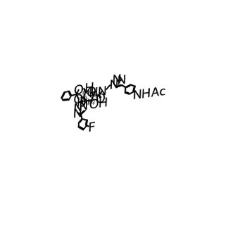 CC(=O)Nc1ccc(-c2cn(CCNC(=O)[C@@H]3O[C@@H]4COC(c5ccccc5)O[C@@H]4[C@H](n4cc(-c5cccc(F)c5)nn4)[C@H]3O)nn2)cc1